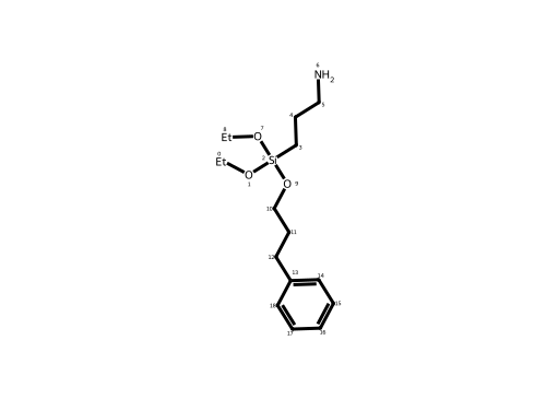 CCO[Si](CCCN)(OCC)OCCCc1ccccc1